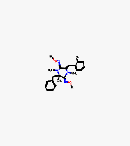 CCO/N=C1/C(=C/c2ccccc2C#N)N(C)/C(=N\OCC)C(C)(Cc2ccccc2)N1C